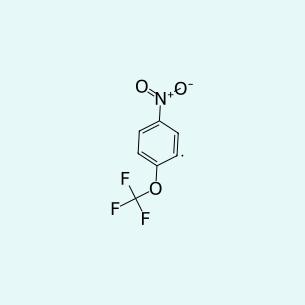 O=[N+]([O-])c1c[c]c(OC(F)(F)F)cc1